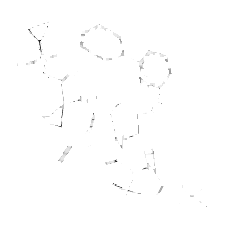 C=C[C@@H]1C[C@]1(NC(=O)[C@@H]1C[C@@H](Oc2cccc(-c3ccccc3)n2)CN1C(=O)[C@@H](NC(=O)OC(C)(C)C)C(C)(C)C)C(=O)NS(=O)(=O)C1CC1